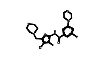 Cc1c(NC(=O)c2cc(F)cc(N3CCOCC3)c2)sc(CN2CCOCC2)c1Cl